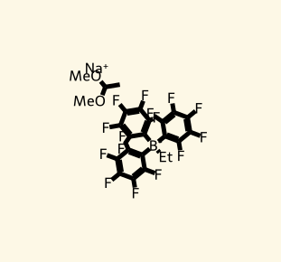 CC[B-](c1c(F)c(F)c(F)c(F)c1F)(c1c(F)c(F)c(F)c(F)c1F)c1c(F)c(F)c(F)c(F)c1F.COC(C)OC.[Na+]